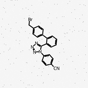 N#Cc1ccc(-n2nnnc2-c2ccccc2-c2ccc(CBr)cc2)cc1